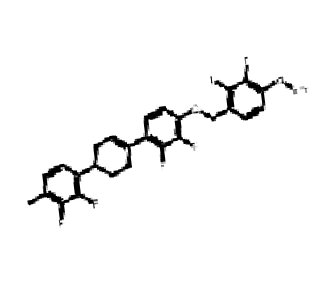 CCCOc1ccc(COc2ccc(C3=CCC(c4ccc(C)c(F)c4F)CC3)c(F)c2F)c(F)c1F